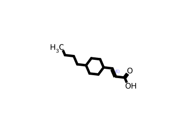 CCCCC1CCC(/C=C/C(=O)O)CC1